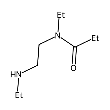 CCNCCN(CC)C(=O)CC